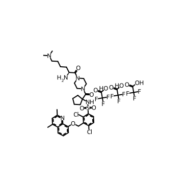 Cc1cc(C)c2cccc(OCc3c(Cl)ccc(S(=O)(=O)NC4(C(=O)N5CCN(C(=O)[C@@H](N)CCCCN(C)C)CC5)CCCC4)c3Cl)c2n1.O=C(O)C(F)(F)F.O=C(O)C(F)(F)F.O=C(O)C(F)(F)F